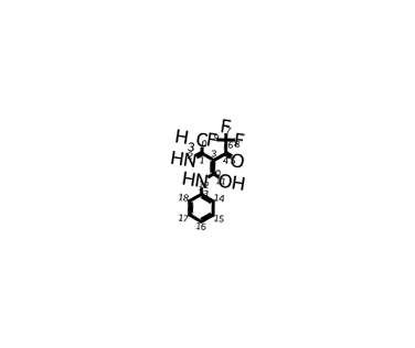 CC(=N)/C(C(=O)C(F)(F)F)=C(/O)Nc1ccccc1